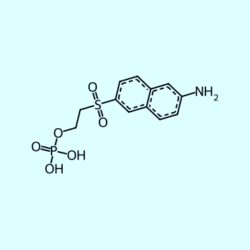 Nc1ccc2cc(S(=O)(=O)CCOP(=O)(O)O)ccc2c1